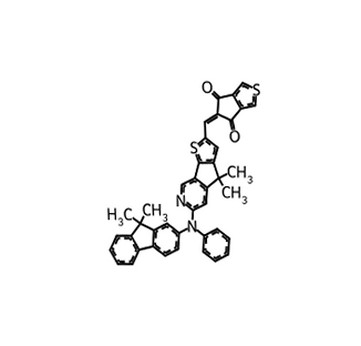 CC1(C)c2ccccc2-c2ccc(N(c3ccccc3)c3cc4c(cn3)-c3sc(C=C5C(=O)c6cscc6C5=O)cc3C4(C)C)cc21